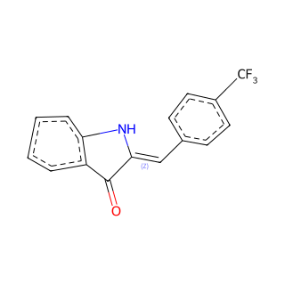 O=C1/C(=C/c2ccc(C(F)(F)F)cc2)Nc2ccccc21